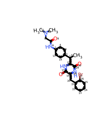 C/C(c1ccc(NC(=O)CN(C)C)cc1)=c1/[nH]c(=O)/c(=C/c2ccccc2Br)[nH]c1=O